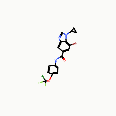 O=C(Nc1ccc(OC(F)(F)Cl)cc1)c1cc(Br)c2c(c1)ncn2C1CC1